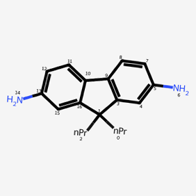 CCCC1(CCC)c2cc(N)ccc2-c2ccc(N)cc21